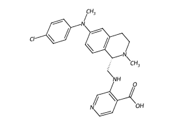 CN(c1ccc(Cl)cc1)c1ccc2c(c1)CCN(C)[C@@H]2CNc1cnccc1C(=O)O